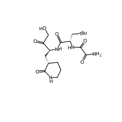 CC(C)(C)C[C@H](NC(=O)C(N)=O)C(=O)N[C@@H](C[C@@H]1CCCNC1=O)C(=O)CO